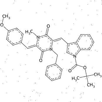 COc1ccc(C=c2c(=O)n(Cc3ccccc3)c(=Cc3cn(C(=O)OC(C)(C)C)c4ccccc34)c(=O)n2C)cc1